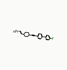 CCC/C=C/C1CCC(C#Cc2ccc(-c3ccc(F)cc3)cc2)CC1